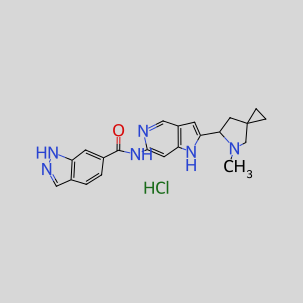 CN1CC2(CC2)CC1c1cc2cnc(NC(=O)c3ccc4cn[nH]c4c3)cc2[nH]1.Cl